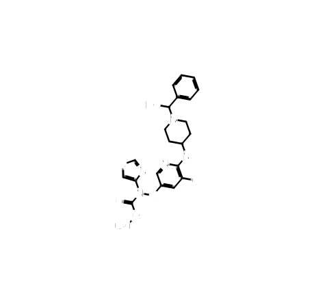 CC(c1ccccc1)N1CCC(Nc2ncc(SN(C(=O)OC(C)(C)C)c3cscn3)cc2Cl)CC1